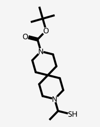 CC(S)N1CCC2(CCN(C(=O)OC(C)(C)C)CC2)CC1